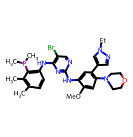 CCn1cc(-c2cc(Nc3ncc(Br)c(Nc4ccc(C)c(C)c4P(C)C)n3)c(OC)cc2N2CCOCC2)cn1